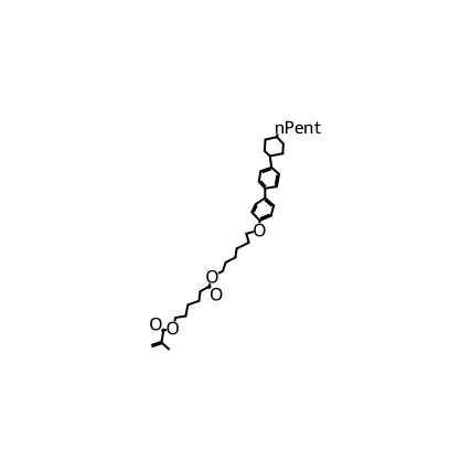 C=C(C)C(=O)OCCCCCC(=O)OCCCCCCOc1ccc(-c2ccc(C3CCC(CCCCC)CC3)cc2)cc1